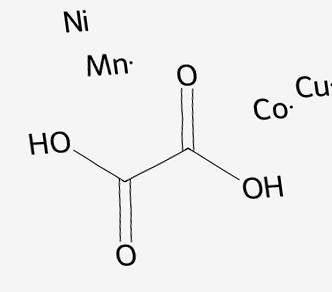 O=C(O)C(=O)O.[Co].[Cu].[Mn].[Ni]